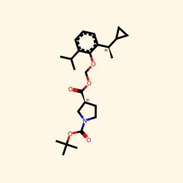 CC(C)c1cccc([C@H](C)C2CC2)c1OCOC(=O)[C@H]1CCN(C(=O)OC(C)(C)C)C1